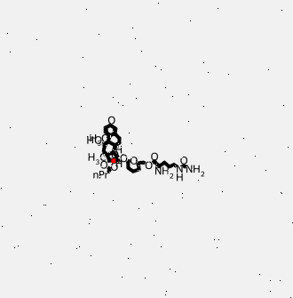 CCCC1O[C@@H]2CC3[C@@H]4CCC5=CC(=O)C=C[C@]5(C)C4[C@@H](O)C[C@]3(C)[C@]2(C(=O)COC2CCCC(COC(=O)[C@@H](N)CCCNC(N)=O)O2)O1